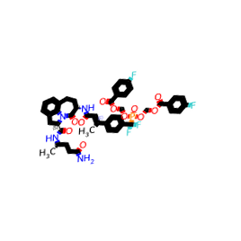 C/C(=C\C(=O)N[C@H]1CCc2cccc3c2N(C1=O)[C@H](C(=O)N[C@H](C)CCC(N)=O)C3)c1ccc(C(F)(F)P(=O)(OCOC(=O)c2ccc(F)cc2)OCOC(=O)c2ccc(F)cc2)cc1